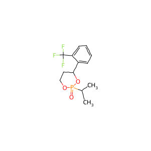 CC(C)P1(=O)OCCC(c2ccccc2C(F)(F)F)O1